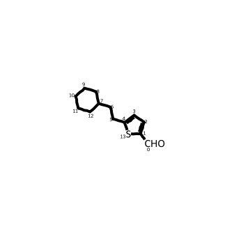 O=Cc1ccc(CCC2CCCCC2)s1